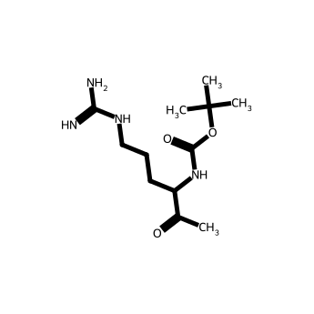 CC(=O)C(CCCNC(=N)N)NC(=O)OC(C)(C)C